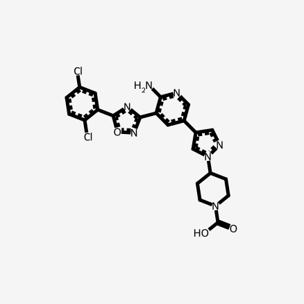 Nc1ncc(-c2cnn(C3CCN(C(=O)O)CC3)c2)cc1-c1noc(-c2cc(Cl)ccc2Cl)n1